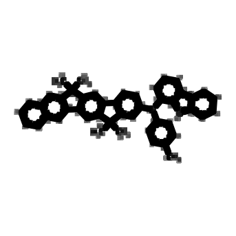 Cc1ccc(N(c2ccc3c(c2)C(C)(C)c2cc4c(cc2-3)C(C)(C)c2cc3ccccc3cc2-4)c2cccc3c2oc2ccccc23)cc1